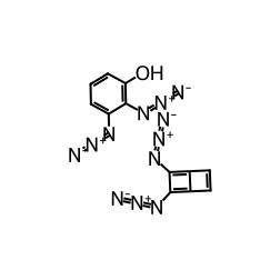 [N-]=[N+]=Nc1c2ccc-2c1N=[N+]=[N-].[N-]=[N+]=Nc1cccc(O)c1N=[N+]=[N-]